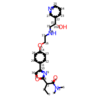 CCC(C(=O)N(C)C)c1nc(-c2ccc(OCCNC[C@@H](O)c3cccnc3)cc2)co1